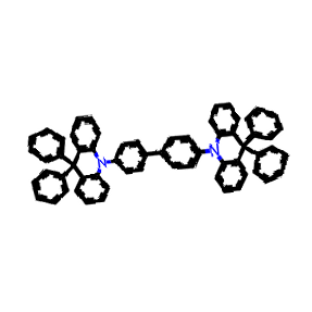 c1ccc(C2(c3ccccc3)c3ccccc3N(c3ccc(-c4ccc(N5c6ccccc6C(c6ccccc6)(c6ccccc6)c6ccccc65)cc4)cc3)c3ccccc32)cc1